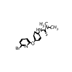 CN(C)C(=S)Nc1ccc(Oc2cccc(Br)n2)cc1